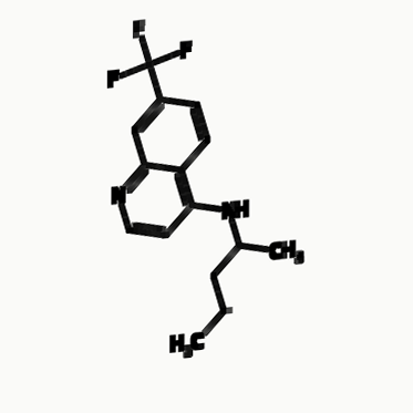 C[CH]CC(C)Nc1ccnc2cc(C(F)(F)F)ccc12